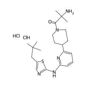 CC(C)(C)Cc1cnc(Nc2cccc(C3CCN(C(=O)C(C)(C)N)CC3)n2)s1.Cl.Cl